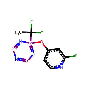 Fc1cc(OP2(C(F)(F)C(F)(F)F)=NP=NP=N2)ccn1